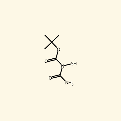 CC(C)(C)OC(=O)N(S)C(N)=O